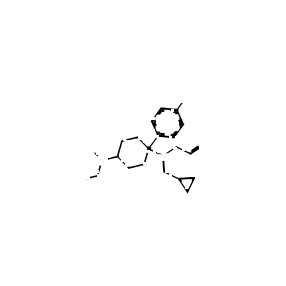 C=CCN(CC1CC1)C1(c2ccc(Cl)cc2)CCC(N(C)CC)CC1